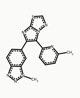 Cc1cccc(-c2c(-c3ccc4nnn(C)c4c3)nc3scnn23)n1